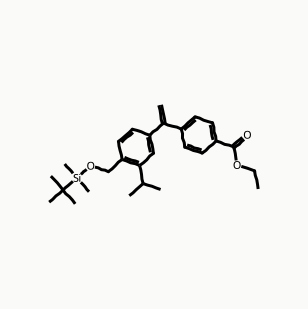 C=C(c1ccc(C(=O)OCC)cc1)c1ccc(CO[Si](C)(C)C(C)(C)C)c(C(C)C)c1